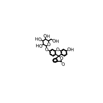 O=C1OC2(c3ccc(O)cc3Oc3cc(OC4OC(CO)C(O)C(O)C4O)ccc32)c2ccccc21